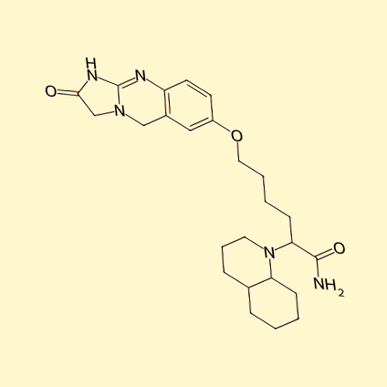 NC(=O)C(CCCCOc1ccc2c(c1)CN1CC(=O)NC1=N2)N1CCCC2CCCCC21